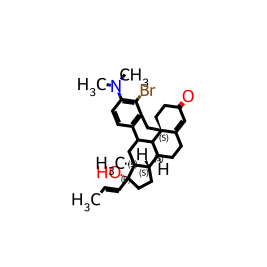 CC=C[C@]1(O)CC[C@H]2[C@@H]3CCC4=CC(=O)CC[C@@]45Cc4c(ccc(N(C)C)c4Br)C(C[C@@]21C)C35